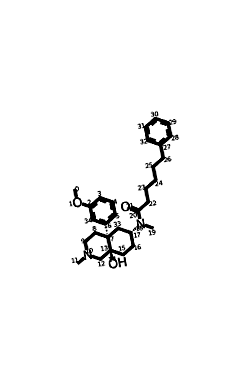 COc1cccc([C@@]23CCN(C)C[C@@]2(O)CC[C@@H](N(C)C(=O)CCCCCc2ccccc2)C3)c1